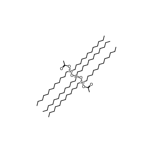 CCCCCCCCCCC[CH2][Sn]([CH2]CCCCCCCCCCC)([O]C(C)=O)[O][Sn]([CH2]CCCCCCCCCCC)([CH2]CCCCCCCCCCC)[O][Sn]([CH2]CCCCCCCCCCC)([CH2]CCCCCCCCCCC)[O]C(C)=O